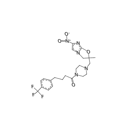 CC1(CN2CCN(C(=O)CCCc3ccc(C(F)(F)F)cc3)CC2)Cn2cc([N+](=O)[O-])nc2O1